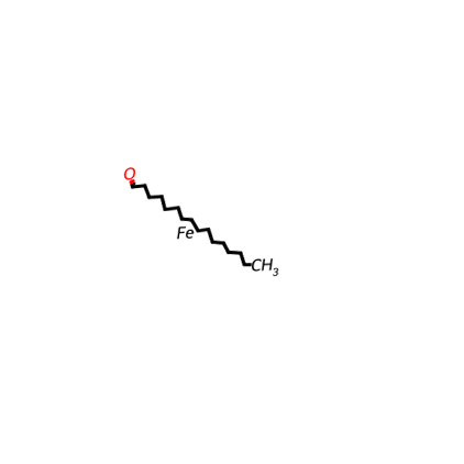 CCCCCCCCCCCCCCCC=O.[Fe]